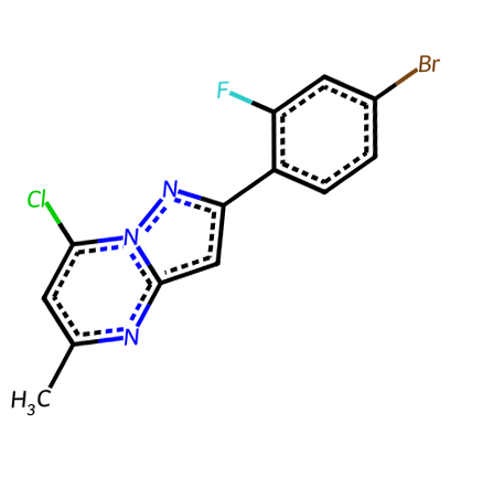 Cc1cc(Cl)n2nc(-c3ccc(Br)cc3F)cc2n1